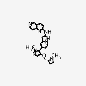 CN1CC[C@@H]1COc1cnn(C)c1-c1ccn2nc(Nc3ccc4cnccc4n3)cc2c1